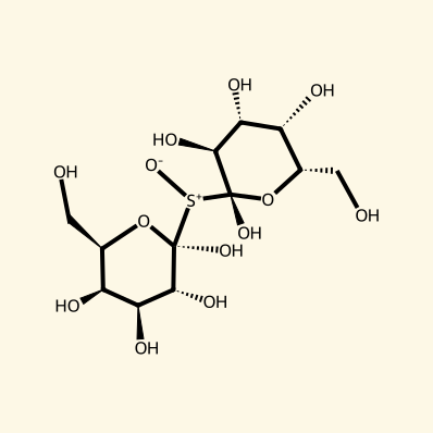 [O-][S+]([C@@]1(O)O[C@@H](CO)[C@@H](O)[C@@H](O)[C@@H]1O)[C@]1(O)O[C@H](CO)[C@H](O)[C@H](O)[C@H]1O